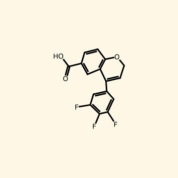 O=C(O)c1ccc2c(c1)C(c1cc(F)c(F)c(F)c1)=CCO2